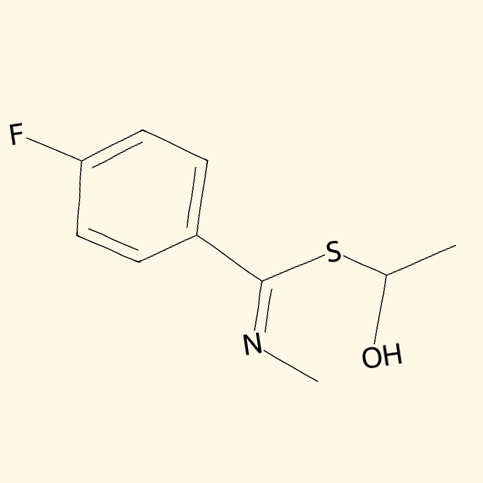 C/N=C(\SC(C)O)c1ccc(F)cc1